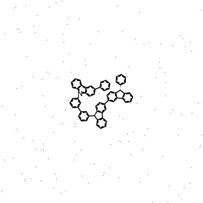 c1ccc(-c2ccc3c(c2)c2ccccc2n3-c2cccc(-c3cccc(C4c5ccccc5-c5cc(-c6ccc7c(c6)-c6ccccc6[C@H]7c6ccccc6)ccc54)c3)c2)cc1